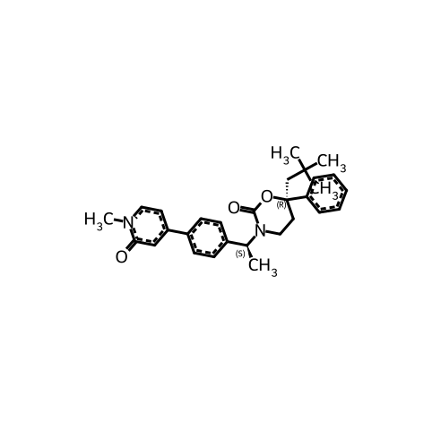 C[C@@H](c1ccc(-c2ccn(C)c(=O)c2)cc1)N1CC[C@](CC(C)(C)C)(c2ccccc2)OC1=O